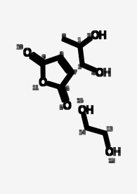 CC(O)CO.O=C1C=CC(=O)O1.OCCO